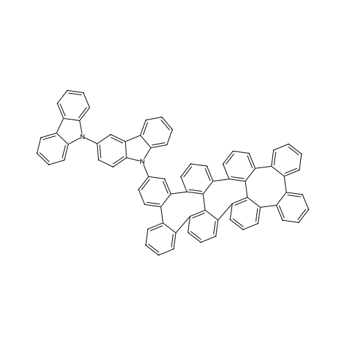 c1ccc2c(c1)c1ccccc1c1cccc3c4cccc5c6cc(-n7c8ccccc8c8cc(-n9c%10ccccc%10c%10ccccc%109)ccc87)ccc6c6ccccc6c6cccc(c7cccc2c7c13)c6c54